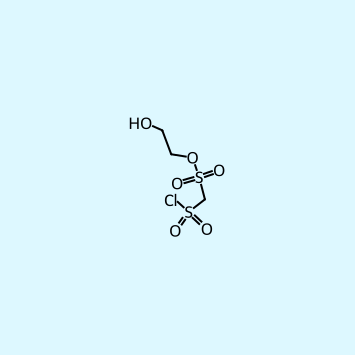 O=S(=O)(Cl)CS(=O)(=O)OCCO